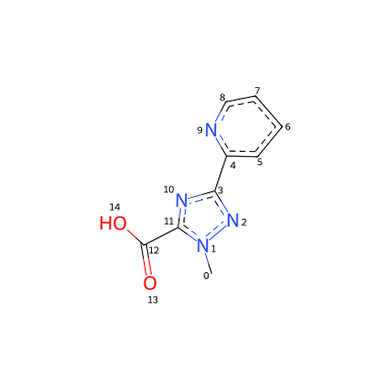 Cn1nc(-c2ccccn2)nc1C(=O)O